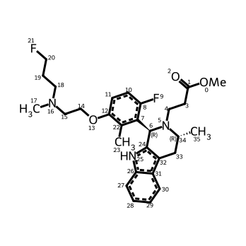 COC(=O)CCN1[C@H](c2c(F)ccc(OCCN(C)CCCF)c2C)c2[nH]c3ccccc3c2C[C@H]1C